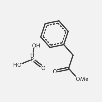 COC(=O)Cc1ccccc1.O=[PH](O)O